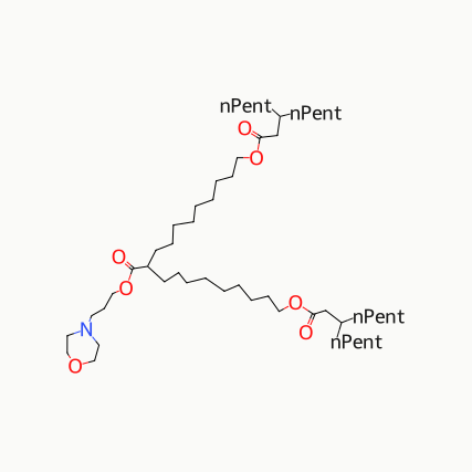 CCCCCC(CCCCC)CC(=O)OCCCCCCCCCC(CCCCCCCCCOC(=O)CC(CCCCC)CCCCC)C(=O)OCCCN1CCOCC1